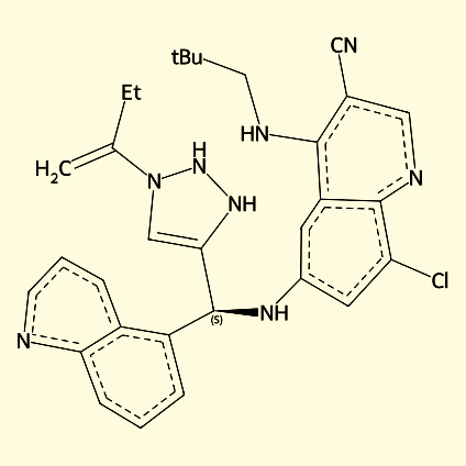 C=C(CC)N1C=C([C@@H](Nc2cc(Cl)c3ncc(C#N)c(NCC(C)(C)C)c3c2)c2cccc3ncccc23)NN1